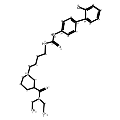 CCN(CC)C(=O)C1CCCN(CCCCNC(=O)Nc2ccc(-c3ccccc3Cl)cc2)C1